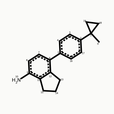 CC1(c2ccc(-c3ccc(N)c4c3CCC4)cc2)CC1